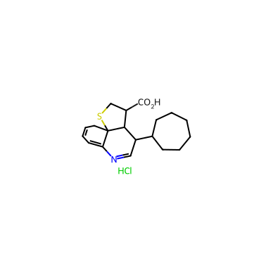 Cl.O=C(O)C1CSC23CC=CC=C2N=CC(C2CCCCCC2)C13